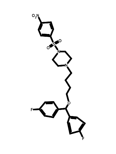 O=[N+]([O-])c1ccc(S(=O)(=O)N2CCN(CCCCOC(c3ccc(F)cc3)c3ccc(F)cc3)CC2)cc1